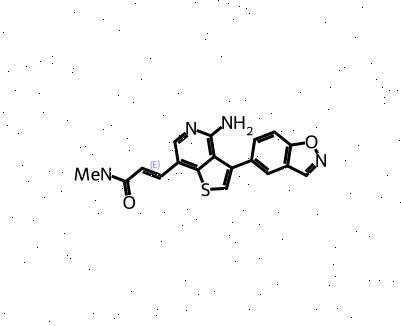 CNC(=O)/C=C/c1cnc(N)c2c(-c3ccc4oncc4c3)csc12